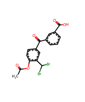 CC(=O)Oc1ccc(C(=O)c2cccc(C(=O)O)c2)cc1C(Br)Br